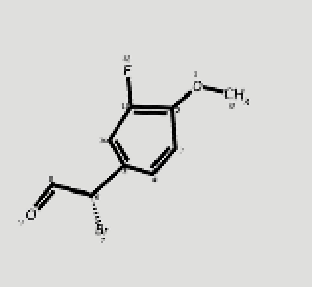 COc1ccc([C@H](Br)C=O)cc1F